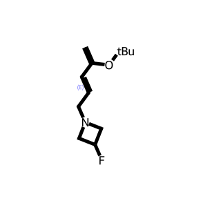 C=C(/C=C/CN1CC(F)C1)OC(C)(C)C